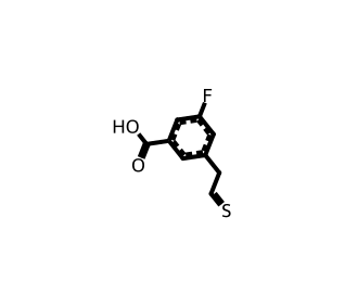 O=C(O)c1cc(F)cc(CC=S)c1